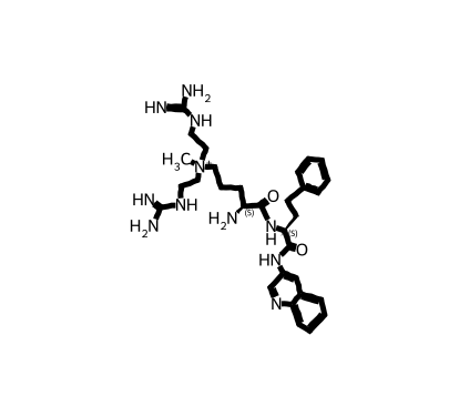 C[N+](CCC[C@H](N)C(=O)N[C@@H](CCc1ccccc1)C(=O)Nc1cnc2ccccc2c1)(CCNC(=N)N)CCNC(=N)N